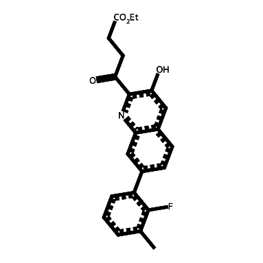 CCOC(=O)CCC(=O)c1nc2cc(-c3cccc(C)c3F)ccc2cc1O